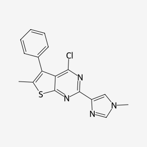 Cc1sc2nc(-c3cn(C)cn3)nc(Cl)c2c1-c1ccccc1